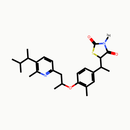 [2H]N1C(=O)SC(C(C)c2ccc(OC(C)Cc3ccc(C(C)C(C)C)c(C)n3)c(C)c2)C1=O